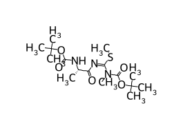 CSC(=NC(=O)[C@H](C)NC(=O)OC(C)(C)C)N(C)C(=O)OC(C)(C)C